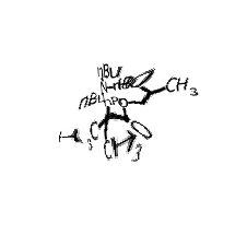 CCCC(C)(C)C(=O)OCC(C)O.CCCCN(CCCC)CCCC